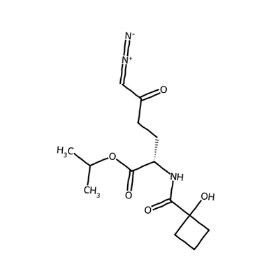 CC(C)OC(=O)[C@H](CCC(=O)C=[N+]=[N-])NC(=O)C1(O)CCC1